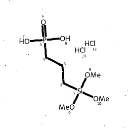 CO[Si](CCCP(=O)(O)O)(OC)OC.Cl.Cl